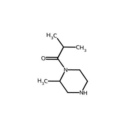 CC(C)C(=O)N1CCNCC1C